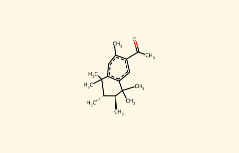 CC(=O)c1cc2c(cc1C)C(C)(C)[C@@H](C)[C@H](C)C2(C)C